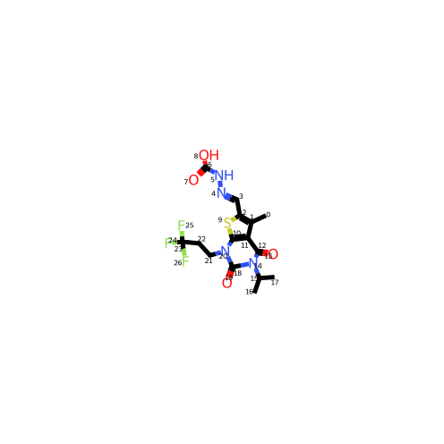 Cc1c(C=NNC(=O)O)sc2c1c(=O)n(C(C)C)c(=O)n2CCC(F)(F)F